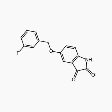 O=C1Nc2ccc(OCc3cccc(F)c3)cc2C1=O